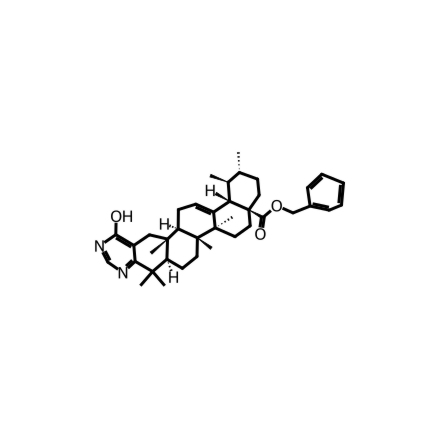 C[C@H]1[C@H](C)CC[C@]2(C(=O)OCc3ccccc3)CC[C@]3(C)C(=CC[C@@H]4[C@@]5(C)Cc6c(O)ncnc6C(C)(C)[C@@H]5CC[C@]43C)[C@H]12